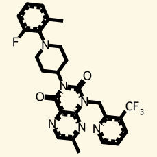 Cc1cnc2c(=O)n(C3CCN(c4c(C)cccc4F)CC3)c(=O)n(Cc3ncccc3C(F)(F)F)c2n1